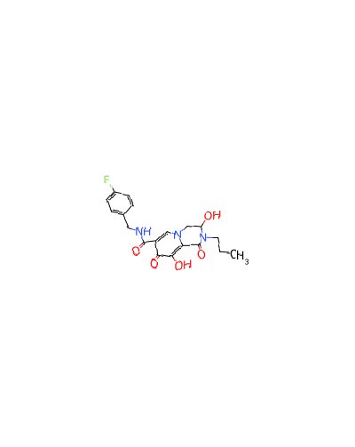 CCCN1C(=O)c2c(O)c(=O)c(C(=O)NCc3ccc(F)cc3)cn2CC1O